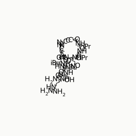 CCCC[C@H](NNC(C(=O)C(=O)[C@]1(C)CCCn2nncc2CCCC(C)(C)C(=O)N[C@@H](CC(C)C)C(=O)N[C@@H](CC(C)C)C(=O)N[C@@H](CCC(N)=O)C(=O)N1)[C@@H](C)CC)C(=O)N[C@@H](CO)C(=O)N[C@@H](CCCNC(N)N)C(N)=O